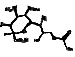 CCCC(=O)OC[C@@H](O)[C@@H](O)C1O[C@@](F)(C(=O)O)C(F)C(N)C1NC(C)=O